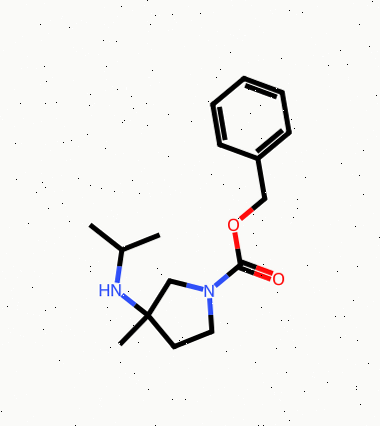 CC(C)NC1(C)CCN(C(=O)OCc2ccccc2)C1